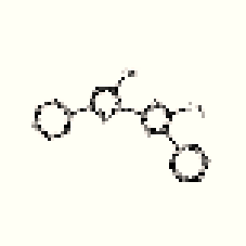 Cc1sc(-n2nc(-c3ccccc3)cc2O)nc1-c1ccccc1